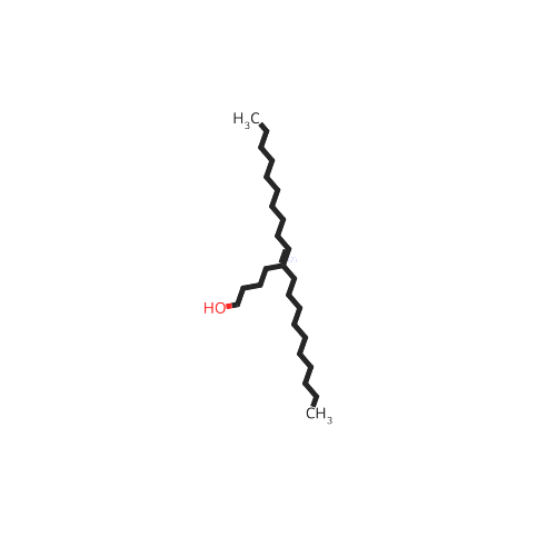 CCCCCCCCC/C=C(\CCCCO)CCCCCCCCCC